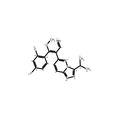 CO/C(=C(\C=N)c1ccc2nnc(C(C)C)n2n1)c1ccc(F)cc1F